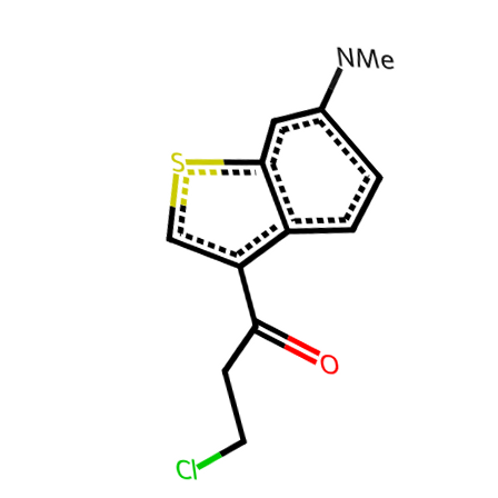 CNc1ccc2c(C(=O)CCCl)csc2c1